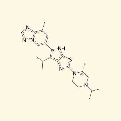 Cc1cc(-c2[nH]c3sc(N4CCN(C(C)C)C[C@H]4C)nc3c2C(C)C)cn2ncnc12